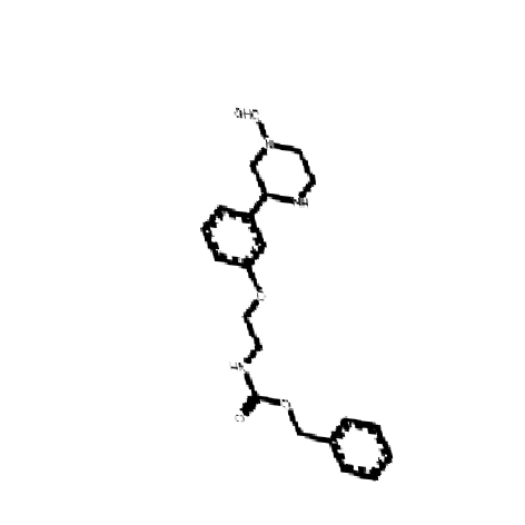 O=CN1CCNC(c2cccc(OCCNC(=O)OCc3ccccc3)c2)C1